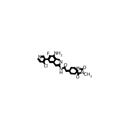 CN1C(=O)NC2(CCC(=CC(=O)Nc3cc4cc(-c5cnccc5Cl)c(F)c(N)c4cn3)CC2)C1=O